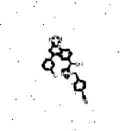 N#Cc1ccc(Cn2cncc2C(O)c2ccc3c(c2)c(-c2cccc(Cl)c2)cc2nnnn23)cc1